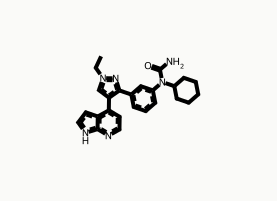 CCn1cc(-c2ccnc3[nH]ccc23)c(-c2cccc(N(C(N)=O)C3CCCCC3)c2)n1